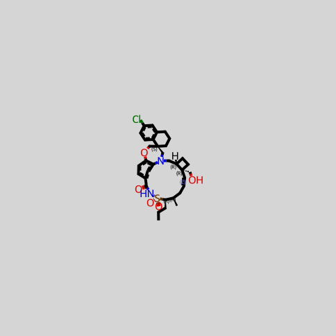 CCC[C@@H]1[C@H](C)C/C=C\[C@]2(CO)CC[C@H]2CN2C[C@@]3(CCCc4cc(Cl)ccc43)COc3ccc(cc32)C(=O)NS1(=O)=O